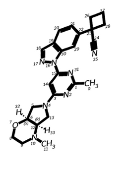 Cc1nc(N2C[C@@H]3OCCN(C)[C@@H]3C2)cc(-n2ncc3ccc(C4(C#N)CCC4)cc32)n1